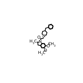 COc1cc2c(cc1OC)N(C(=O)CN1CCC(Cc3ccccc3)CC1)C(C)C2